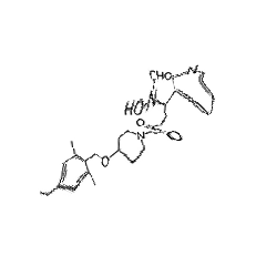 Cc1cc(C)c(COC2CCN(S(=O)(=O)CC(c3cccnc3)N(O)C=O)CC2)c(C)c1